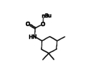 CCCCOC(=O)NC1CC(C)CC(C)(C)C1